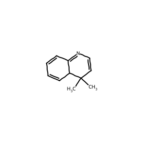 CC1(C)C=CN=C2C=CC=CC21